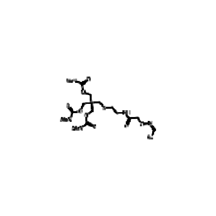 CNC(=O)OCC(COC(=O)NC)(COC(=O)NC)CSCCNC(=O)CO/N=C\C(C)=O